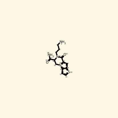 NCCCN1C(=O)c2cc3sccc3n2CC1C(N)=O